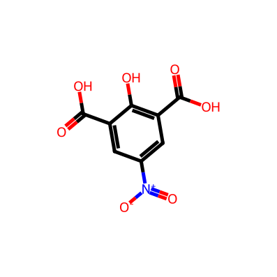 O=C(O)c1cc([N+](=O)[O-])cc(C(=O)O)c1O